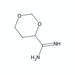 N=C(N)C1CCOCO1